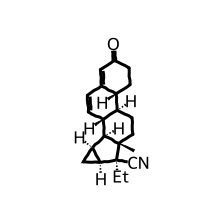 CC[C@]1(C#N)[C@H]2C[C@H]2[C@H]2[C@@H]3C=CC4=CC(=O)CC[C@@H]4[C@H]3CC[C@@]21C